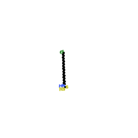 S=C(S)NCCCCCCCCCCCCCCCCCCCCCCCCl